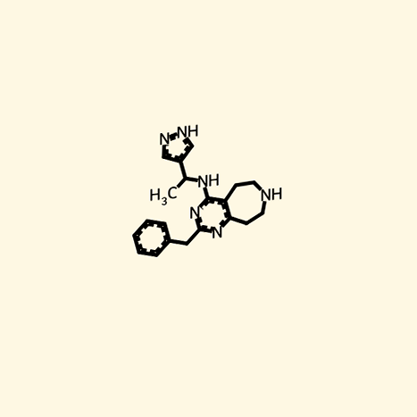 CC(Nc1nc(Cc2ccccc2)nc2c1CCNCC2)c1cn[nH]c1